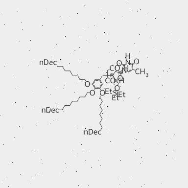 CCCCCCCCCCCCCCCCCCOc1cc(CC(CC(=O)O)(C(=O)O)[C@H]2C[C@H](n3cc(C)c(=O)[nH]c3=O)O[C@@H]2CO[Si](CC)(CC)CC)cc(OCCCCCCCCCCCCCCCCCC)c1OCCCCCCCCCCCCCCCCCC